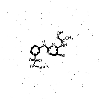 CCCCCCNS(=O)(=O)c1cccc(Nc2ncc(Br)c(N[C@H](C)CO)n2)c1